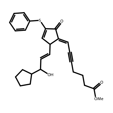 COC(=O)CCCC#CC=C1C(=O)C(Sc2ccccc2)=CC1C=CC(O)C1CCCC1